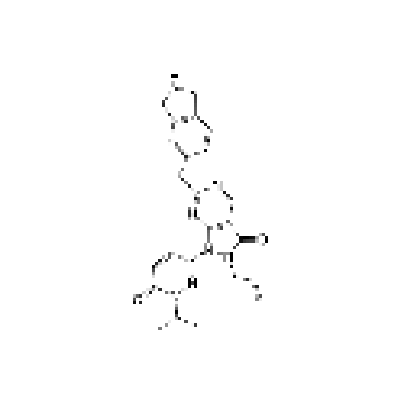 C=CCn1c(=O)c2cnc(Nc3ccc4c(c3)CNC4)nc2n1-c1ccc(=O)n(C(C)C)n1